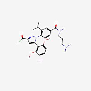 COc1cccc(OC)c1-c1cc(C(=O)Cl)nn1-c1ccc(C(=O)N(C)CCCN(C)C)cc1C(C)C.Cl